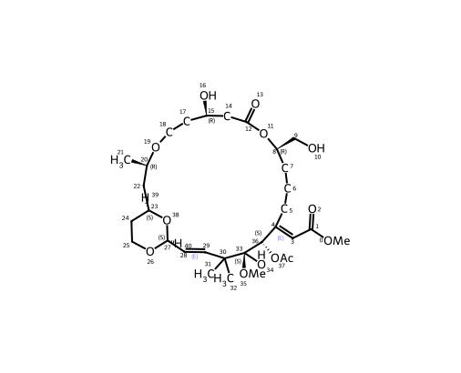 COC(=O)/C=C1\CCC[C@H](CO)OC(=O)C[C@H](O)CCO[C@H](C)C[C@@H]2CCO[C@H](/C=C/C(C)(C)[C@](O)(OC)[C@H]1OC(C)=O)O2